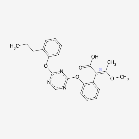 CCCc1ccccc1Oc1ncnc(Oc2ccccc2/C(C(=O)O)=C(/C)OC)n1